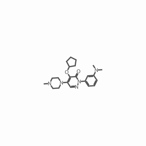 CN1CCN(c2cnn(-c3cccc(N(C)C)c3)c(=O)c2OC2CCCC2)CC1